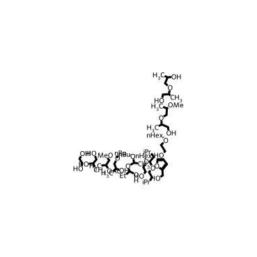 CC(C)CCOCCC(C)C.CC(O)CO.CC(O)COC(C)CO.CCCCCCOCCO.CCCCCCOCCO.CCCCOC(C)OC(O)CC.CCCCOCC(C)O.COC(C)COC(C)CO.COCC(C)OC(C)=O.OCCO.OCc1ccco1